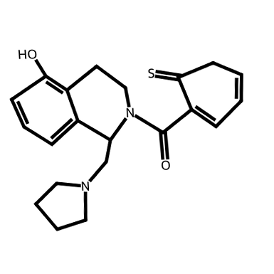 O=C(C1=CC=CCC1=S)N1CCc2c(O)cccc2C1CN1CCCC1